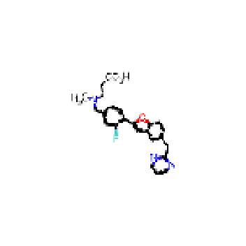 CN(CCC(=O)O)Cc1ccc(-c2cc3cc(Cc4ncccn4)ccc3o2)c(F)c1